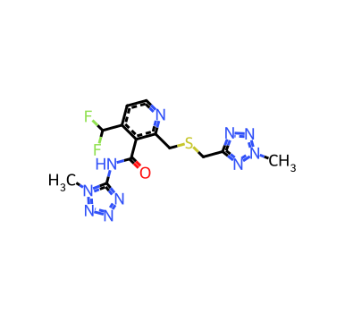 Cn1nnc(CSCc2nccc(C(F)F)c2C(=O)Nc2nnnn2C)n1